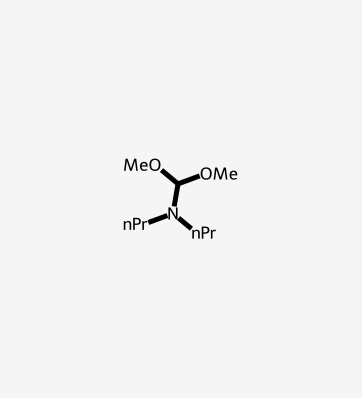 CCCN(CCC)C(OC)OC